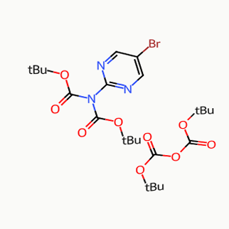 CC(C)(C)OC(=O)N(C(=O)OC(C)(C)C)c1ncc(Br)cn1.CC(C)(C)OC(=O)OC(=O)OC(C)(C)C